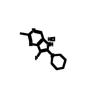 Cc1ncc2[nH]c(N3CCCCC3)c(F)c2n1.Cl